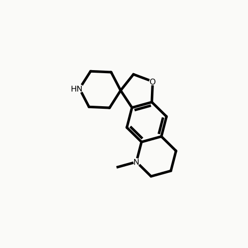 CN1CCCc2cc3c(cc21)C1(CCNCC1)CO3